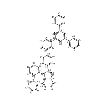 c1ccc(-c2cc(-c3ccccc3)nc(-c3cccc(-c4ccc(-c5nc6cccc7c6n5-c5ccccc5-c5ccccc5-7)cc4)c3)n2)cc1